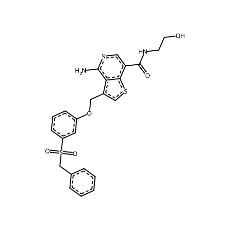 Nc1ncc(C(=O)NCCO)c2scc(COc3cccc(S(=O)(=O)Cc4ccccc4)c3)c12